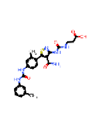 Cc1cccc(NC(=O)Nc2ccc(-c3snc(NC(=O)NCCC(=O)O)c3C(N)=O)c(C)c2)c1